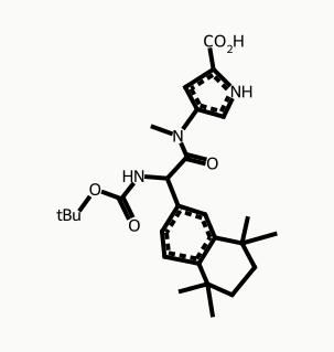 CN(C(=O)C(NC(=O)OC(C)(C)C)c1ccc2c(c1)C(C)(C)CCC2(C)C)c1c[nH]c(C(=O)O)c1